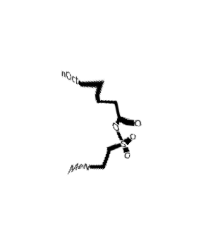 CCCCCCCCCCCC(=O)OS(=O)(=O)CCNC